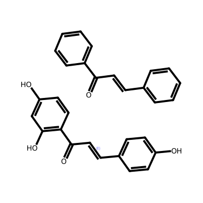 O=C(/C=C/c1ccc(O)cc1)c1ccc(O)cc1O.O=C(C=Cc1ccccc1)c1ccccc1